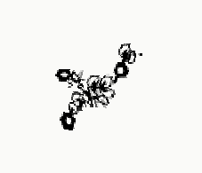 O=C(COc1ccccc1)N[C@@H]1C(=O)N(C(=O)C(=O)OCc2ccc([N+](=O)[O-])cc2)[C@@H]1SSc1nc2ccccc2s1